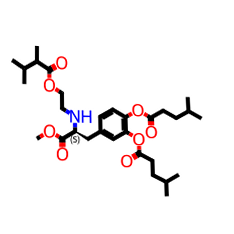 COC(=O)[C@H](Cc1ccc(OC(=O)CCC(C)C)c(OC(=O)CCC(C)C)c1)NCCOC(=O)C(C)C(C)C